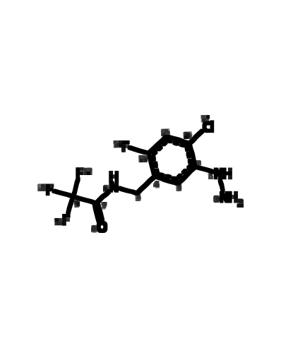 NNc1cc(CNC(=O)C(F)(F)F)c(F)cc1Cl